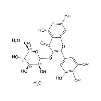 C[C@H]1OC(Oc2c(-c3cc(O)c(O)c(O)c3)oc3cc(O)cc(O)c3c2=O)[C@@H](O)[C@@H](O)[C@@H]1O.O.O